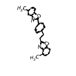 Cc1ccc2oc(-c3ccc(C=Cc4nc5c(C)cccc5o4)cc3)nc2c1